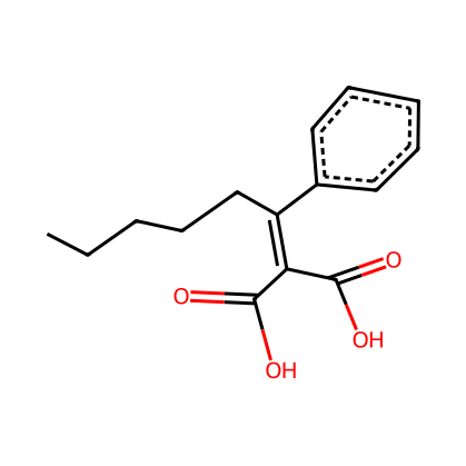 CCCCCC(=C(C(=O)O)C(=O)O)c1ccccc1